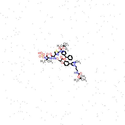 C[n+]1cc(-c2ccc(OC(CO/N=C(/C(=O)N[C@@H]3C(=O)N(OS(=O)(=O)O)C3(C)C)c3csc(NC(=O)OC(C)(C)C)n3)C(=O)OC(c3ccccc3)c3ccccc3)cc2)cn1CCCNC(=O)OC(C)(C)C